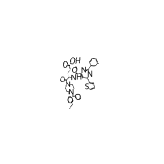 CCOC(=O)N1CCN(C(=O)[C@H](CCC(=O)O)NC(=O)c2cc(-c3cccs3)nc(-c3ccccc3)n2)CC1